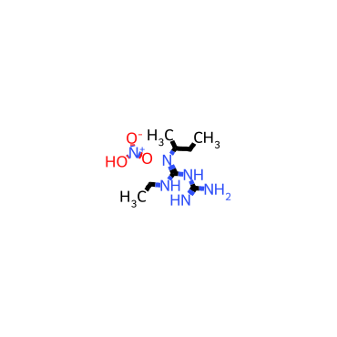 CCNC(=NC(C)CC)NC(=N)N.O=[N+]([O-])O